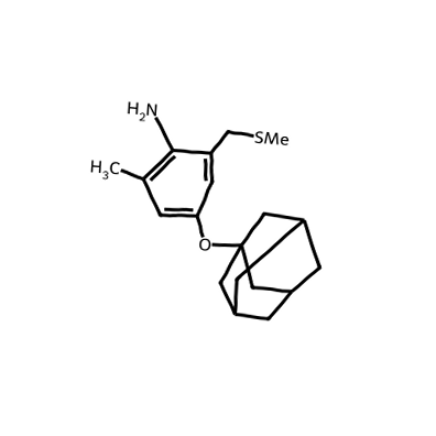 CSCc1cc(OC23CC4CC(CC(C4)C2)C3)cc(C)c1N